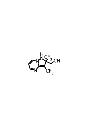 N#CCC1(C(F)(F)F)NN2C=CC=NC2=C1C(F)(F)F